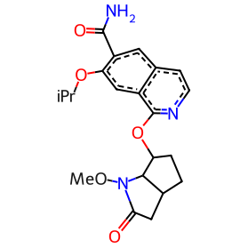 CON1C(=O)CC2CCC(Oc3nccc4cc(C(N)=O)c(OC(C)C)cc34)C21